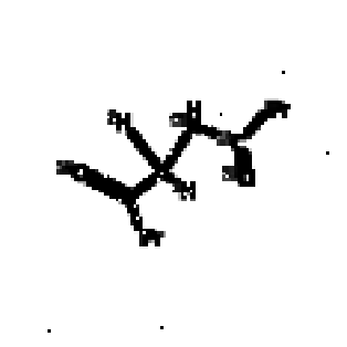 [2H]C([2H])([15NH][13C](=[18O])C(C)C)C(=[18O])C(C)C